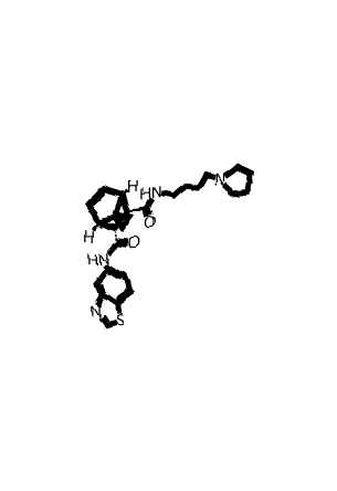 O=C(NCCCCN1CCCC1)[C@H]1[C@H](C(=O)Nc2ccc3scnc3c2)[C@@H]2C=C[C@H]1C21CC1